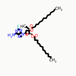 C#CC[C@]1(OC(=O)CCCCCCCCCCCCC)C[C@H](n2cnc3c(N)nc(F)nc32)O[C@@H]1COC(=O)CCCCCCCCCCCCC